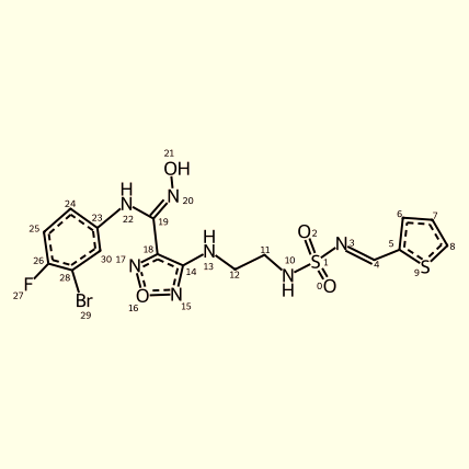 O=S(=O)(/N=C/c1cccs1)NCCNc1nonc1/C(=N/O)Nc1ccc(F)c(Br)c1